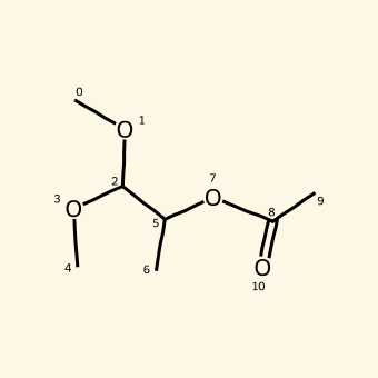 COC(OC)C(C)OC(C)=O